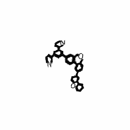 c1cncc(-c2cc(-c3cccnc3)cc(-c3ccc4c(c3)COCc3ccc(-c5ccc6oc7ccccc7c6c5)cc3-4)c2)c1